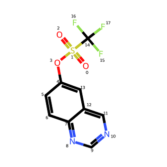 O=S(=O)(Oc1ccc2ncncc2c1)C(F)(F)F